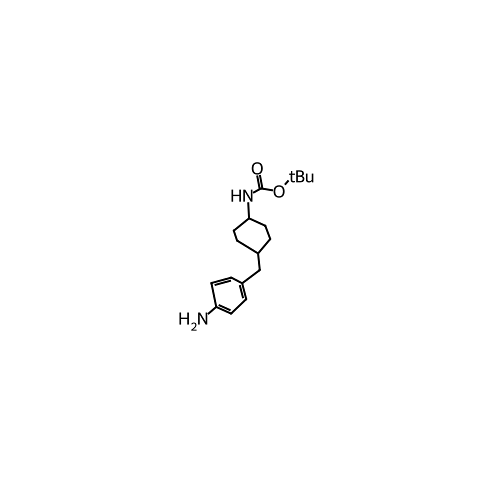 CC(C)(C)OC(=O)NC1CCC(Cc2ccc(N)cc2)CC1